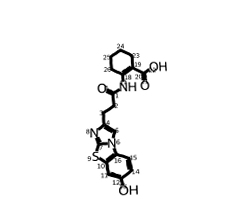 O=C(CCc1cn2c(n1)sc1cc(O)ccc12)NC1=C(C(=O)O)CCCC1